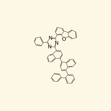 c1ccc(-c2nc(-c3ccc(-c4ccc(-c5ccccc5-c5ccccc5)c5ccccc45)c4ccccc34)nc(-c3cccc4c3oc3ccccc34)n2)cc1